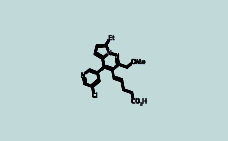 CCc1ccc2c(-c3cncc(Cl)c3)c(C=CCCC(=O)O)c(COC)nn12